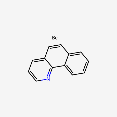 [Be].c1ccc2c(c1)ccc1cccnc12